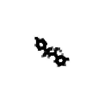 Cc1ccc(S(=O)(=O)N=C(N)c2cccc(C)c2)cc1